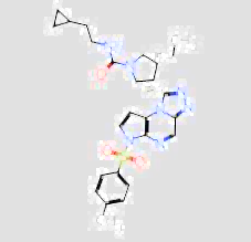 CC[C@H]1CN(C(=O)NCCC2CC2)C[C@H]1c1nnc2cnc3c(ccn3S(=O)(=O)c3ccc(C)cc3)n12